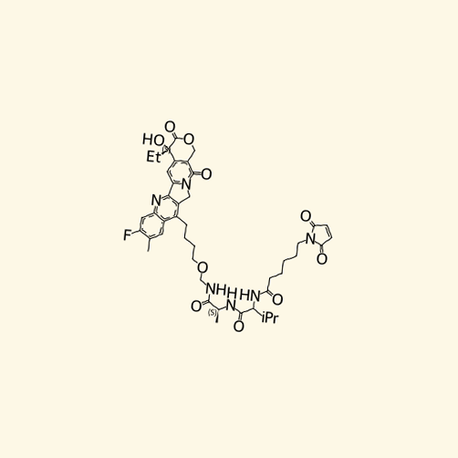 CC[C@@]1(O)C(=O)OCc2c1cc1n(c2=O)Cc2c-1nc1cc(F)c(C)cc1c2CCCCOCNC(=O)[C@H](C)NC(=O)C(NC(=O)CCCCCN1C(=O)C=CC1=O)C(C)C